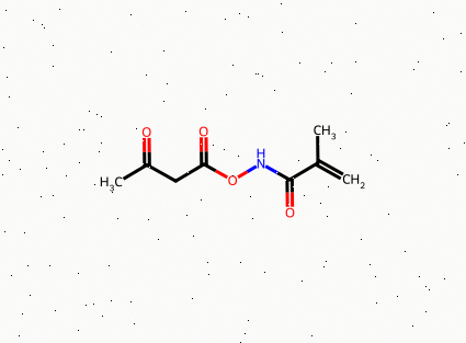 C=C(C)C(=O)NOC(=O)CC(C)=O